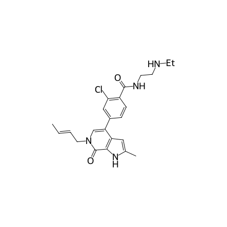 C/C=C/Cn1cc(-c2ccc(C(=O)NCCNCC)c(Cl)c2)c2cc(C)[nH]c2c1=O